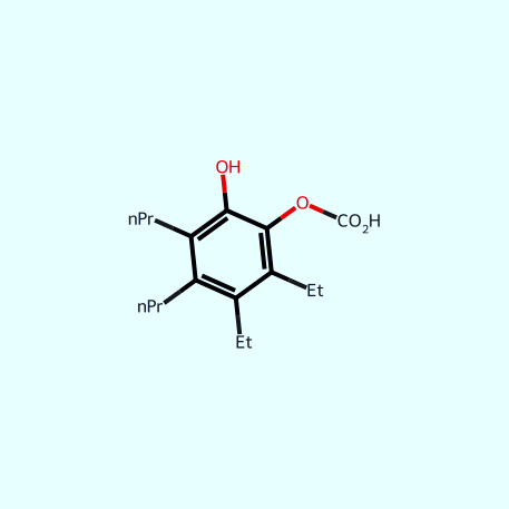 CCCc1c(O)c(OC(=O)O)c(CC)c(CC)c1CCC